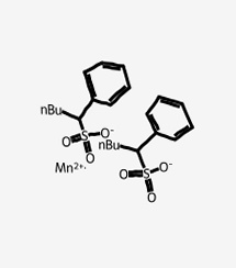 CCCCC(c1ccccc1)S(=O)(=O)[O-].CCCCC(c1ccccc1)S(=O)(=O)[O-].[Mn+2]